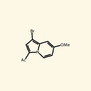 COc1ccn2c(C(C)=O)cc(Br)c2c1